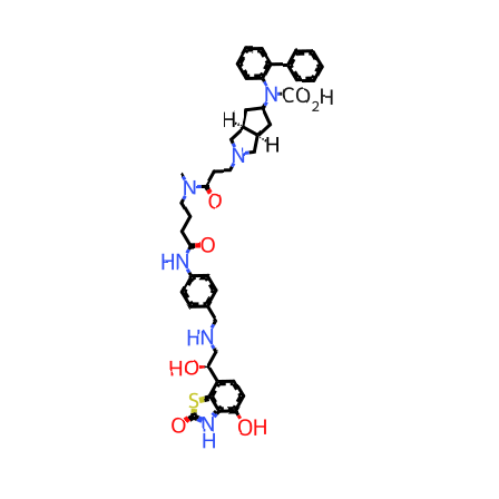 CN(CCCC(=O)Nc1ccc(CNC[C@H](O)c2ccc(O)c3[nH]c(=O)sc23)cc1)C(=O)CCN1C[C@H]2CC(N(C(=O)O)c3ccccc3-c3ccccc3)C[C@H]2C1